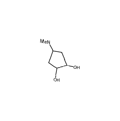 CNC1CC(O)C(O)C1